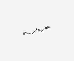 C[CH]CC=CCC(C)C